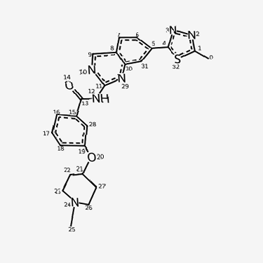 Cc1nnc(-c2ccc3cnc(NC(=O)c4cccc(OC5CCN(C)CC5)c4)nc3c2)s1